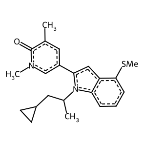 CSc1cccc2c1cc(-c1cc(C)c(=O)n(C)c1)n2C(C)CC1CC1